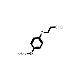 CCCCCCOc1ccc(OCCC=O)cc1